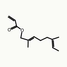 C=CC(=O)OCC(C)=CCCC(C)=CC